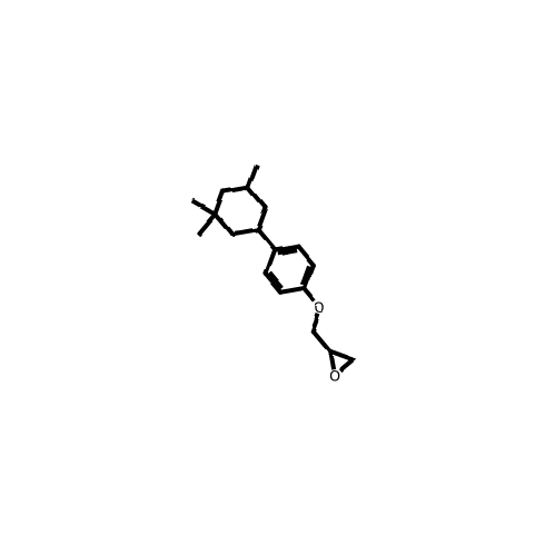 CC1CC(c2ccc(OCC3CO3)cc2)CC(C)(C)C1